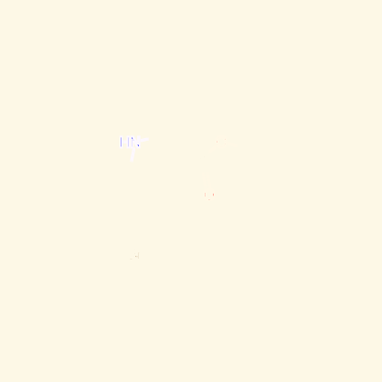 CC(C)(C)OC(=O)C1CNc2ccc(Br)cc21